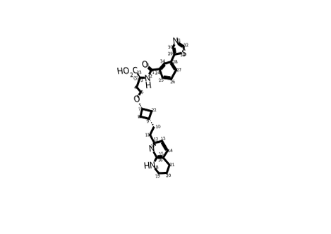 O=C(N[C@@H](CCO[C@H]1C[C@@H](CCc2ccc3c(n2)NCCC3)C1)C(=O)O)c1cccc(-c2cncs2)c1